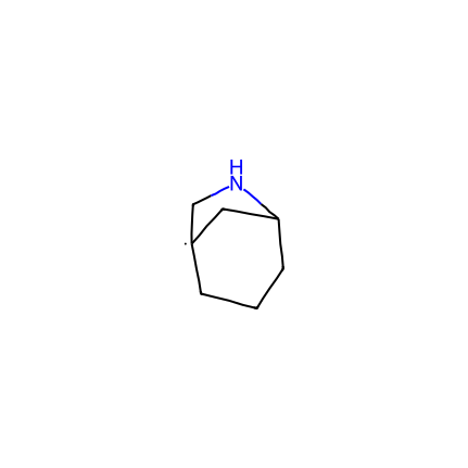 C1C[C]2CNC(C1)C2